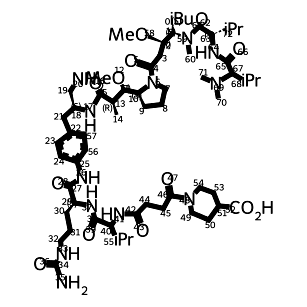 CC[C@H](C)[C@@H]([C@@H](CC(=O)N1CCC[C@H]1[C@H](OC)[C@@H](C)C(=O)N[C@H](CN)Cc1ccc(NC(=O)[C@H](CCCNC(N)=O)NC(=O)C(NC(=O)CCC(=O)N2CCC(C(=O)O)CC2)C(C)C)cc1)OC)N(C)C(=O)[C@@H](NC(=O)C(C(C)C)N(C)C)C(C)C